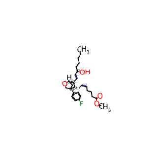 CCCCC[C@H](O)/C=C/[C@@H]1[C@@H]2C[C@@](c3ccc(F)cc3)(CO2)[C@H]1C/C=C\CCCC(=O)OC